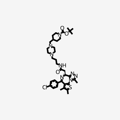 Cc1sc2c(c1C)C(c1ccc(Cl)cc1)=N[C@@H](CC(=O)NCCCN1CCN(CC3CCN(C(=O)OC(C)(C)C)CC3)CC1)c1nnc(C)n1-2